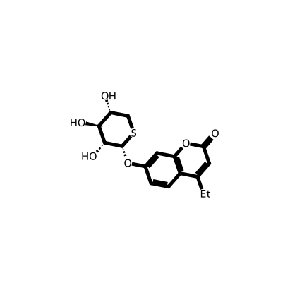 CCc1cc(=O)oc2cc(O[C@H]3SC[C@@H](O)[C@H](O)[C@H]3O)ccc12